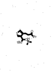 CC(C)C(=O)CCc1cscc1C(O[SiH](C)C)C(C)(C)C